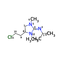 CC(C)/N=C1/N(C)CC(CCCl)N1C